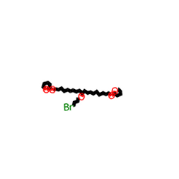 BrCCCCOC(CCCCCCCCCOC1CCCCO1)CCCCCCCCCOC1CCCCO1